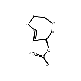 CC(=O)OC1/C=C/CCCCC1